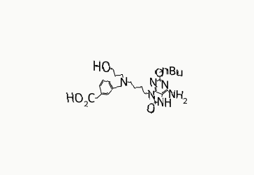 CCCCOc1nc(N)c2[nH]c(=O)n(CCCCN(CCCO)Cc3cccc(CC(=O)O)c3)c2n1